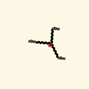 CCCCCCCCCCCCCCCCCC[Si]([O])(CCCCCCCCCCCCCCCCCC)CCCCCCCCCCCCCCCCCC